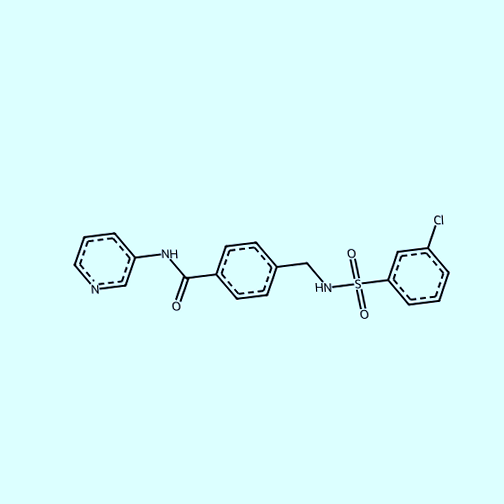 O=C(Nc1cccnc1)c1ccc(CNS(=O)(=O)c2cccc(Cl)c2)cc1